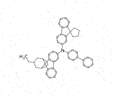 CCC1CC2CCCC(C1)C21c2ccccc2-c2cc(N(c3ccc(-c4ccccc4)cc3)c3ccc4c(c3)C3(CCCC3)c3ccccc3-4)ccc21